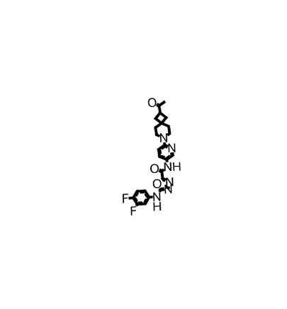 CC(=O)C1CC2(CCN(c3ccc(NC(=O)c4nnc(Nc5ccc(F)c(F)c5)o4)cn3)CC2)C1